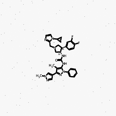 Cc1c(-c2cnn(C)c2)nn(-c2ccccc2)c1NC(=O)N[C@@H]1CN(Cc2nccn2C2CC2)C[C@H]1c1ccc(F)c(F)c1